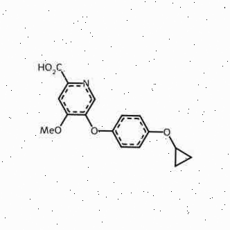 COc1cc(C(=O)O)ncc1Oc1ccc(OC2CC2)cc1